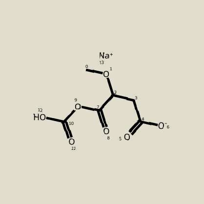 COC(CC(=O)[O-])C(=O)OC(=O)O.[Na+]